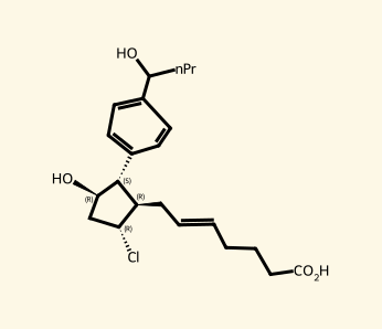 CCCC(O)c1ccc([C@@H]2[C@@H](CC=CCCCC(=O)O)[C@H](Cl)C[C@H]2O)cc1